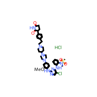 COc1cc(N2CCN(C3CCN(CCc4ccc(C5CCC(=O)NC5=O)cc4)CC3)CC2)ccc1Nc1ncc(Cl)c(Nc2ccccc2N(C)S(C)(=O)=O)n1.Cl